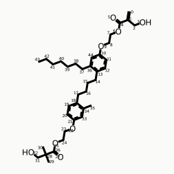 C=C(CO)C(=O)OCCOc1ccc(CCCCc2ccc(OCCOC(=O)C(C)(C)CO)cc2C)c(CCCCCCC)c1